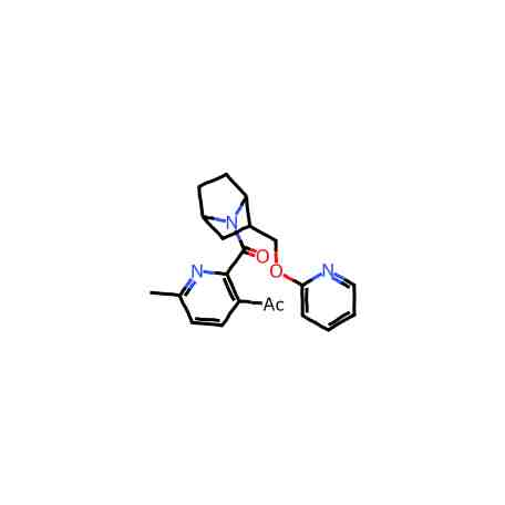 CC(=O)c1ccc(C)nc1C(=O)N1C2CCC1C(COc1ccccn1)C2